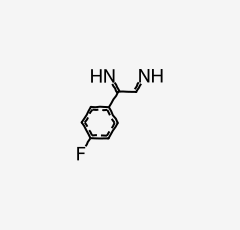 N=CC(=N)c1ccc(F)cc1